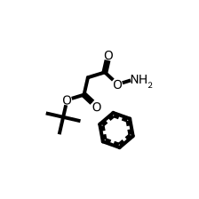 CC(C)(C)OC(=O)CC(=O)ON.c1ccccc1